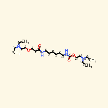 CCN(CC)CCOCCC(=O)NCCCCCCNC(=O)OCCN(CC)CC